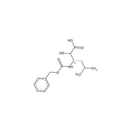 CC(C)C[C@H](NC(=O)OCc1ccccc1)C(O)C(=O)O